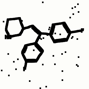 Fc1ccc(C(=CC2CCCNC2)c2ccc(F)cc2)cc1